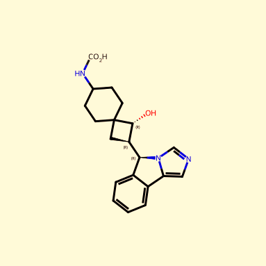 O=C(O)NC1CCC2(CC1)C[C@H]([C@@H]1c3ccccc3-c3cncn31)[C@H]2O